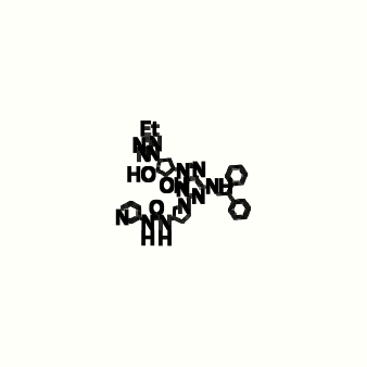 CCc1nnn([C@H]2C[C@@H](n3cnc4c(NCC(c5ccccc5)c5ccccc5)nc(N5CCC(NC(=O)Nc6cccnc6)C5)nc43)[C@H](O)[C@@H]2O)n1